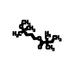 CCC(C)(C)C(=O)OCCC[Si](C)(C)OC